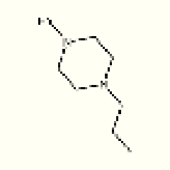 CCCN1CCN(S)CC1